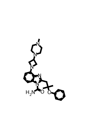 CN1CCN(C2CN(c3cccc4c3nc(CC(C)(C)Oc3ccccc3)n4C(N)=O)C2)CC1